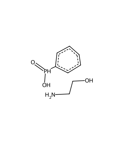 NCCO.O=[PH](O)c1ccccc1